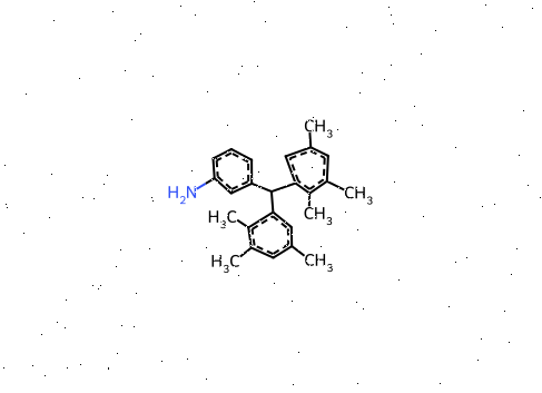 Cc1cc(C)c(C)c(C(c2cccc(N)c2)c2cc(C)cc(C)c2C)c1